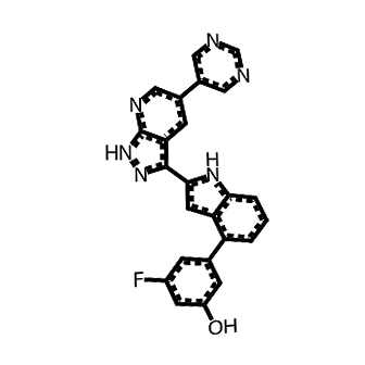 Oc1cc(F)cc(-c2cccc3[nH]c(-c4n[nH]c5ncc(-c6cncnc6)cc45)cc23)c1